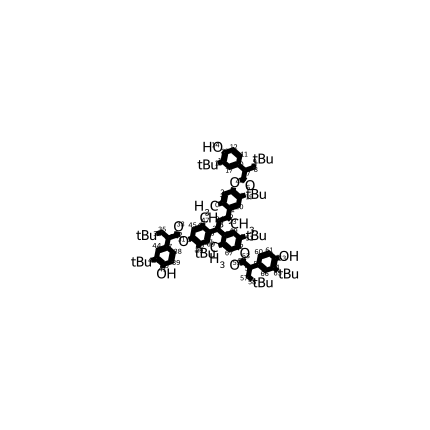 Cc1cc(OC(=O)C(CC(C)(C)C)c2ccc(O)c(C(C)(C)C)c2)c(C(C)(C)C)cc1C(C)CC(c1cc(C(C)(C)C)c(OC(=O)C(CC(C)(C)C)c2ccc(O)c(C(C)(C)C)c2)cc1C)c1cc(C(C)(C)C)c(OC(=O)C(CC(C)(C)C)c2ccc(O)c(C(C)(C)C)c2)cc1C